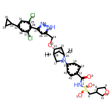 O=C(NS(=O)(=O)CC1CCOC1)c1ccc(N2C[C@@H]3C[C@H]2C[C@H]3OCc2cc(-c3c(Cl)cc(C4CC4)cc3Cl)n[nH]2)cc1